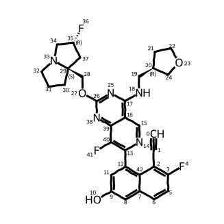 C#Cc1c(F)ccc2cc(O)cc(-c3ncc4c(NC[C@H]5CCOC5)nc(OC[C@@]56CCCN5C[C@H](F)C6)nc4c3F)c12